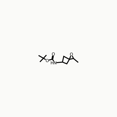 CC1OC12CC(NC(=O)OC(C)(C)C)C2